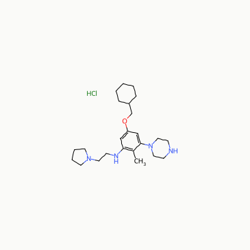 Cc1c(NCCN2CCCC2)cc(OCC2CCCCC2)cc1N1CCNCC1.Cl